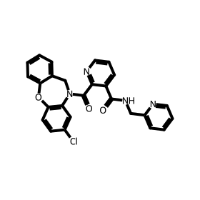 O=C(NCc1ccccn1)c1cccnc1C(=O)N1Cc2ccccc2Oc2ccc(Cl)cc21